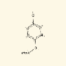 CCCCCOc1ccc(Cl)cn1